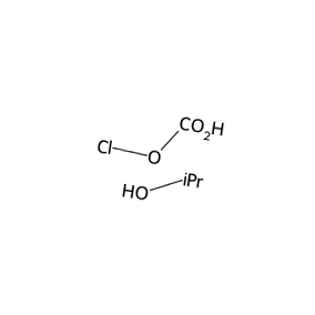 CC(C)O.O=C(O)OCl